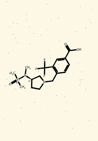 CN([C@@H]1CCN(Cc2ccc(C(=O)O)cc2C(F)(F)F)C1)[SH](C)(C)=O